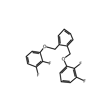 Fc1cccc(OCc2ccccc2COc2cccc(F)c2F)c1F